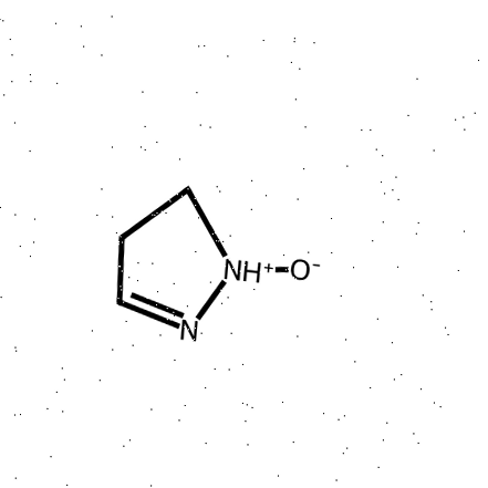 [O-][NH+]1CCC=N1